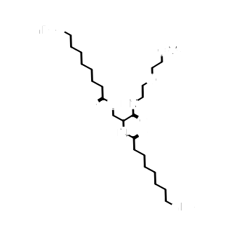 CCCCCCCCCCCCCCCCCC(=O)NC(COC(=O)CCCCCCCCCCCCCCCCC)C(=O)NCCOCCOC